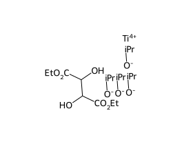 CC(C)[O-].CC(C)[O-].CC(C)[O-].CC(C)[O-].CCOC(=O)C(O)C(O)C(=O)OCC.[Ti+4]